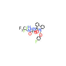 CC(C)(C(=O)NCC(F)(F)C(F)(F)F)C(=O)N[C@@H]1C(=O)N(CCOc2ccc(F)cc2)c2ccccc2-c2ccccc21